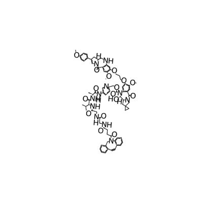 COc1ccc(C2=CN3C(=O)c4cc(OC)c(OCCCOc5cc6c(cc5OC)C(=O)N5CC7(CC7)C[C@H]5C(O)N6C(=O)OCc5ccc(NC(=O)[C@H](C)NC(=O)[C@@H](NC(=O)CNC(=O)CNC(=O)CCC(=O)N6Cc7ccccc7C#Cc7ccccc76)C(C)C)cn5)cc4NC[C@@H]3C2)cc1